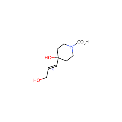 O=C(O)N1CCC(O)(/C=C/CO)CC1